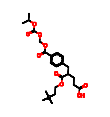 CC(C)OC(=O)OCOC(=O)c1ccc(CC(CCC(=O)O)C(=O)OCC[Si](C)(C)C)cc1